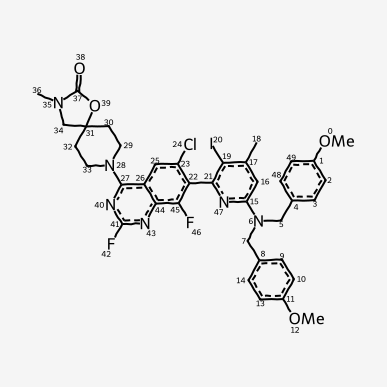 COc1ccc(CN(Cc2ccc(OC)cc2)c2cc(C)c(I)c(-c3c(Cl)cc4c(N5CCC6(CC5)CN(C)C(=O)O6)nc(F)nc4c3F)n2)cc1